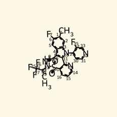 Cc1cc2c(cc1F)c(C#N)c(-c1ncccc1S(=O)(=O)N[C@@H](C)C(F)(F)F)n2-c1ccncc1F